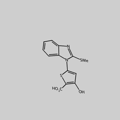 CSc1nc2ccccc2n1-c1cc(O)c(C(=O)O)s1